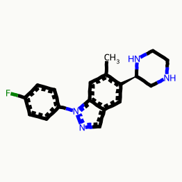 Cc1cc2c(cnn2-c2ccc(F)cc2)cc1[C@@H]1CNCCN1